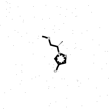 COC[C@H](C)n1cc(Cl)cn1